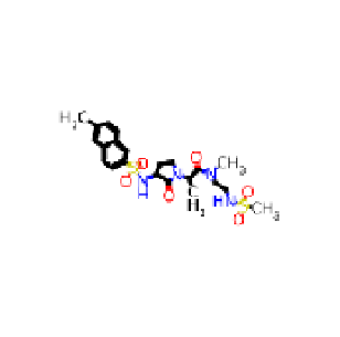 Cc1ccc2cc(S(=O)(=O)NC3CCN(C(C)C(=O)N(C)CCNS(C)(=O)=O)C3=O)ccc2c1